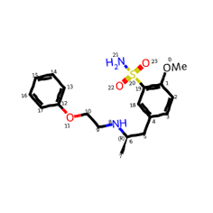 COc1ccc(C[C@@H](C)NCCOc2ccccc2)cc1S(N)(=O)=O